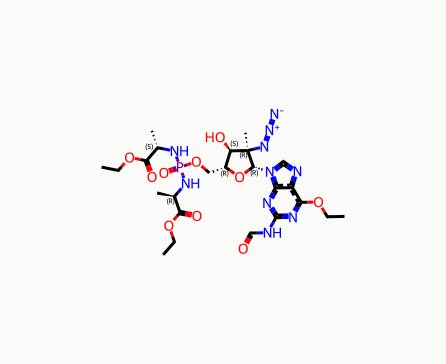 CCOC(=O)[C@H](C)NP(=O)(N[C@H](C)C(=O)OCC)OC[C@H]1O[C@@H](n2cnc3c(OCC)nc(NC=O)nc32)[C@](C)(N=[N+]=[N-])[C@@H]1O